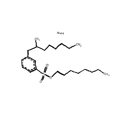 CCCCCCCCOS(=O)(=O)c1cccc(CC(C)CCCCCC)c1.[NaH]